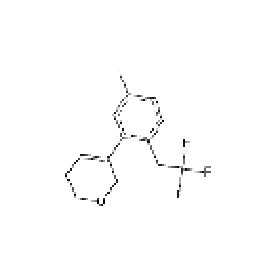 Cc1ccc(CC(F)(F)F)c(C2=CCCOC2)c1